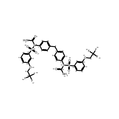 NC(=O)N(c1ccc(Cc2ccc(N(C(N)=O)S(=O)(=O)c3cccc(OCC(F)(F)F)c3)cc2)cc1)S(=O)(=O)c1cccc(OCC(F)(F)F)c1